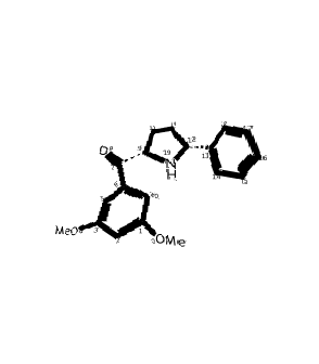 COc1cc(OC)cc(C(=O)[C@@H]2CC[C@H](c3ccccc3)N2)c1